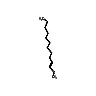 CCCCCCCCCC=COC